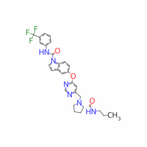 CCCNC(=O)[C@@H]1CCCN1Cc1cc(Oc2ccc3c(ccn3C(=O)Nc3cccc(C(F)(F)F)c3)c2)ncn1